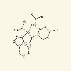 CC(=O)Nc1cc(Cl)ccc1C(=O)C(C)(C(=O)O)c1coc2ccccc12